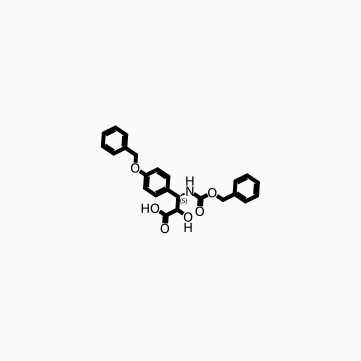 O=C(N[C@@H](c1ccc(OCc2ccccc2)cc1)C(O)C(=O)O)OCc1ccccc1